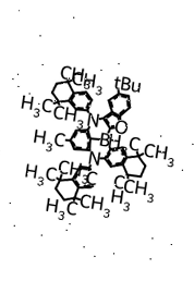 Cc1cc2c3c(c1)N(c1ccc4c(c1)C(C)(C)CCC4(C)C)c1c(oc4ccc(C(C)(C)C)cc14)B3c1cc3c(cc1N2c1ccc2c(c1)C(C)(C)CCC2(C)C)C(C)(C)CCC3(C)C